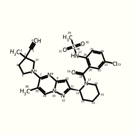 C#CC1(C)CCN(c2nc3cc([C@@H]4CCCCN4C(=O)c4cc(Cl)ccc4NS(C)(=O)=O)nn3cc2C)C1